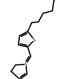 CCCCCCc1ccc(C=S2C=CCC2)s1